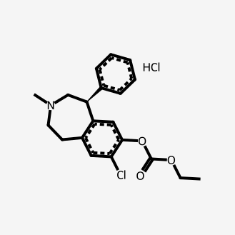 CCOC(=O)Oc1cc2c(cc1Cl)CCN(C)C[C@H]2c1ccccc1.Cl